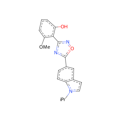 COc1cccc(O)c1-c1noc(-c2ccc3c(ccn3C(C)C)c2)n1